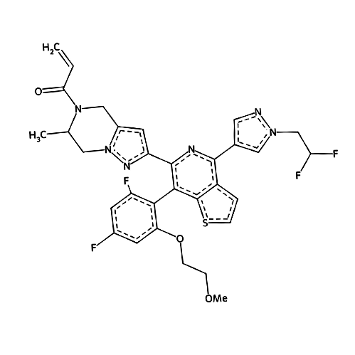 C=CC(=O)N1Cc2cc(-c3nc(-c4cnn(CC(F)F)c4)c4ccsc4c3-c3c(F)cc(F)cc3OCCOC)nn2CC1C